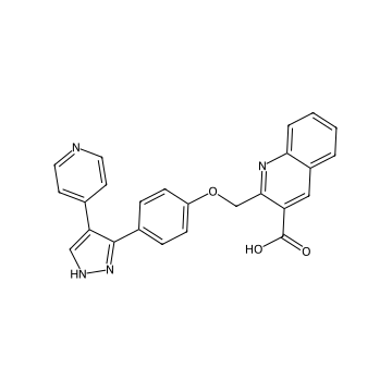 O=C(O)c1cc2ccccc2nc1COc1ccc(-c2n[nH]cc2-c2ccncc2)cc1